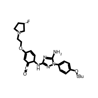 CC(C)(C)Oc1ccc(-n2nc(NC3C=CC(OCCN4CC[C@H](F)C4)=CC3=C=O)nc2N)cc1